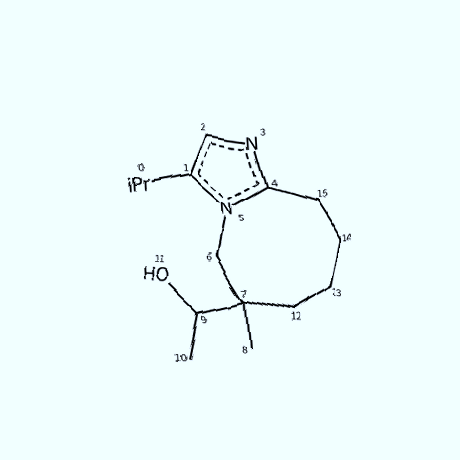 CC(C)c1cnc2n1CC(C)(C(C)O)CCCC2